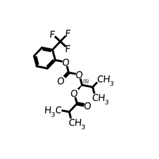 CC(C)C(=O)O[C@@H](OC(=O)Oc1ccccc1C(F)(F)F)C(C)C